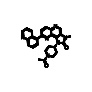 CC(=O)N1CCC(n2c(=O)n(C)c3cnc4ccc(-c5cccc6ncccc56)nc4c32)CC1